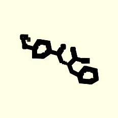 COc1ccc(C(=O)C[C@@H](Cc2ccccc2)C(=O)O)cc1